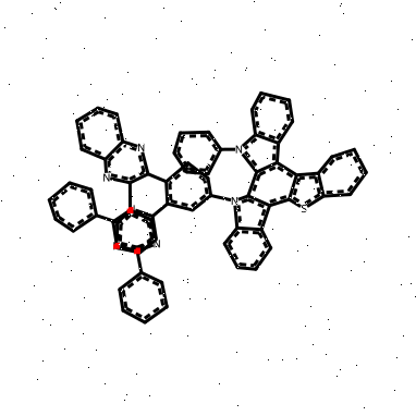 c1ccc(-c2nc(-c3ccccc3)nc(-c3cc(-n4c5ccccc5c5c6sc7ccccc7c6c6c7ccccc7n(-c7ccccc7)c6c54)ccc3-c3nc4ccccc4nc3-c3ccccc3)n2)cc1